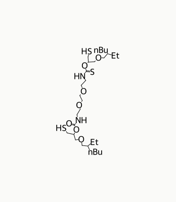 CCCCC(CC)COCC(CS)OC(=O)NCCOCCOCCNC(=S)OC(CS)COCC(CC)CCCC